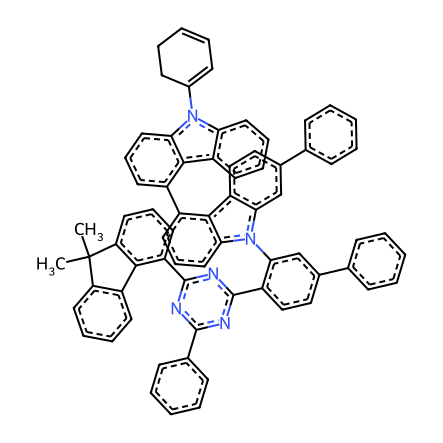 CC1(C)c2ccccc2-c2c(-c3nc(-c4ccccc4)nc(-c4ccc(-c5ccccc5)cc4-n4c5cc(-c6ccccc6)ccc5c5c(-c6cccc7c6c6ccccc6n7C6=CC=CCC6)cccc54)n3)cccc21